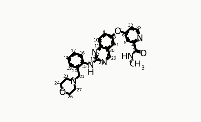 CNC(=O)c1cc(Oc2ccc3nc(Nc4ccccc4CN4CCOCC4)ncc3c2)ccn1